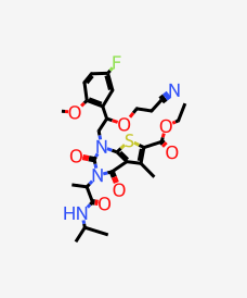 CCOC(=O)c1sc2c(c1C)c(=O)n(C(C)C(=O)NC(C)C)c(=O)n2CC(OCCC#N)c1cc(F)ccc1OC